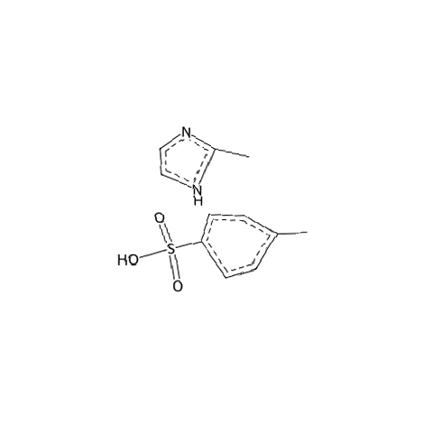 Cc1ccc(S(=O)(=O)O)cc1.Cc1ncc[nH]1